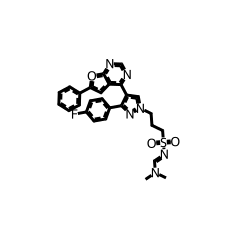 CN(C)C=NS(=O)(=O)CCCn1cc(-c2ncnc3oc(-c4ccccc4)cc23)c(-c2ccc(F)cc2)n1